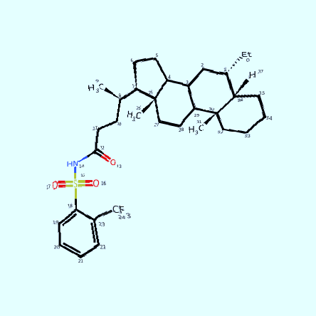 CC[C@H]1CC2C3CC[C@H]([C@H](C)CCC(=O)NS(=O)(=O)c4ccccc4C(F)(F)F)[C@@]3(C)CCC2[C@@]2(C)CCCC[C@@H]12